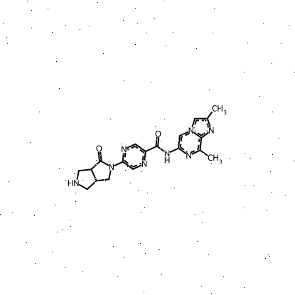 Cc1cn2cc(NC(=O)c3cnc(N4CC5CNCC5C4=O)cn3)nc(C)c2n1